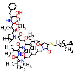 CC[C@H](C)[C@@H](C(CC(=O)N1C2C[C@@H]2C[C@H]1[C@H](OC)[C@@H](C)C(=O)N[C@@H](Cc1ccccc1)C(=O)O)OC)N(C)C(=O)[C@@H](NC(=O)[C@H](C(C)C)N(C)C(=O)CCCCCN1C(=O)CC(SCCCC(C)(C)C2C#C2)C1=O)C(C)C